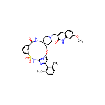 COc1ccc2cc(CN3CCC4(CC3)CNC(=O)c3cccc(c3)S(=O)(=O)Nc3nc(cc(-c5c(C)cccc5C)n3)OC4)c(=O)[nH]c2c1